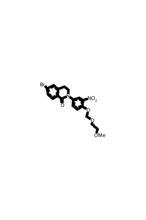 COCCOCOc1ccc(N2CCc3cc(Br)ccc3C2=O)cc1[N+](=O)[O-]